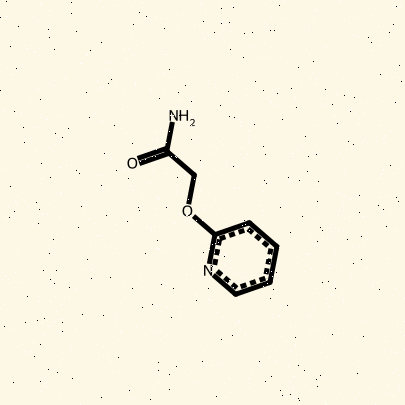 NC(=O)COc1ccccn1